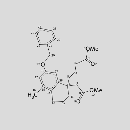 COC(=O)CCCC1(CC(=O)OC)CCCc2c(C)cc(OCc3ccccc3)cc21